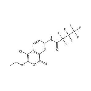 CCOc1oc(=O)c2cc(NC(=O)C(F)(F)C(F)(F)C(F)(F)F)ccc2c1Cl